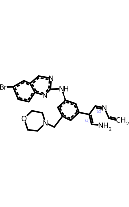 C=C/N=C\C(=C/N)c1cc(CN2CCOCC2)cc(Nc2ncc3cc(Br)ccc3n2)c1